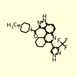 CN1CCN(C(=O)c2n[nH]c3ccc4nc(-c5c[nH]nc5C(F)(F)F)c5c(c4c23)CCCC5)CC1